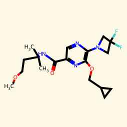 COCCC(C)(C)NC(=O)c1cnc(N2CC(F)(F)C2)c(OCC2CC2)n1